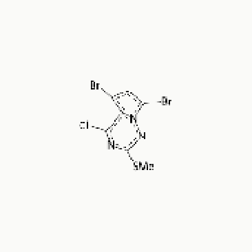 CSc1nc(Cl)c2c(Br)cc(Br)n2n1